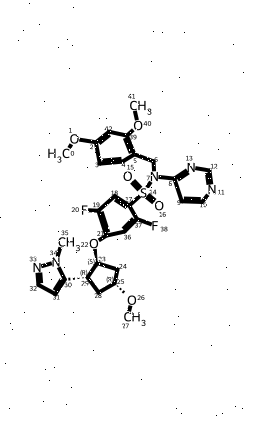 COc1ccc(CN(c2ccncn2)S(=O)(=O)c2cc(F)c(O[C@H]3C[C@H](OC)C[C@@H]3c3ccnn3C)cc2F)c(OC)c1